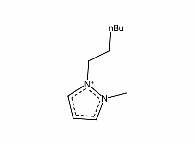 CCCCCC[n+]1cccn1C